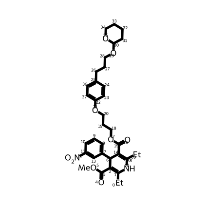 CCC1=C(C(=O)OC)C(c2cccc([N+](=O)[O-])c2)C(C(=O)OCCCOc2ccc(CCCOC3CCCCO3)cc2)=C(CC)N1